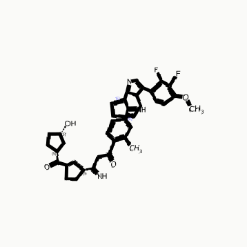 COc1ccc(C2=CN=C3/C(C(=N)c4ccc(C(=O)CC(=N)[C@H]5CCC(C(=O)[C@H]6CC[C@H](O)C6)C5)c(C)c4)=C/C/C=C\CC23)c(F)c1F